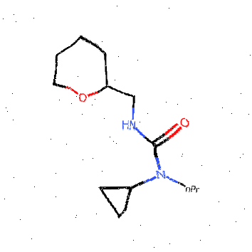 CCCN(C(=O)NCC1CCCCO1)C1CC1